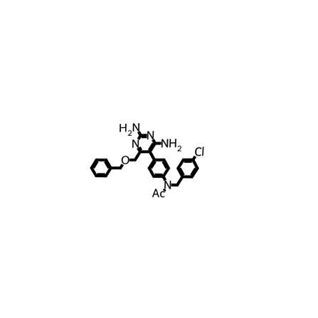 CC(=O)N(Cc1ccc(Cl)cc1)c1ccc(-c2c(N)nc(N)nc2COCc2ccccc2)cc1